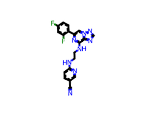 N#Cc1ccc(NCCNc2nc(-c3ccc(F)cc3F)cn3ncnc23)nc1